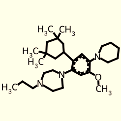 CCCN1CCN(c2cc(OC)c(N3CCCCC3)cc2C2CC(C)(C)CC(C)(C)C2)CC1